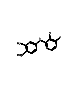 Nc1cc(Nc2ncnc(F)c2Cl)ccc1S(=O)(=O)O